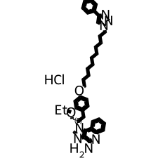 CCOC[C@H](Cc1ccc(OCCCCCCCCCCCn2cc(-c3ccccc3)nn2)cc1)n1cnc2c(N)nc3ccccc3c21.Cl